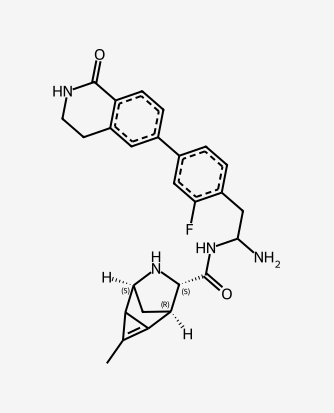 CC1=C2C1[C@@H]1C[C@H]2[C@@H](C(=O)NC(N)Cc2ccc(-c3ccc4c(c3)CCNC4=O)cc2F)N1